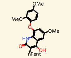 CCCCCc1c(O)c2cc(OC)cc(Oc3ccc(OC)cc3OC)c2[nH]c1=O